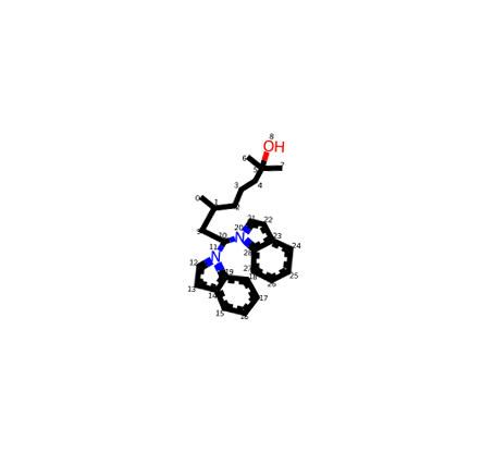 CC(CCCC(C)(C)O)CC(n1ccc2ccccc21)n1ccc2ccccc21